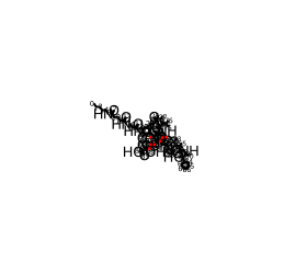 CCCCCNC(=O)CCCC(=O)NCCC(=O)Nc1cc(COC(=O)N(C)C(C(=O)NC(C(=O)N(C)C(C(C)CC)C(CC(=O)N2CCCC2C(OC)C(C)C(=O)NC(C)C(O)c2ccccc2)OC)C(C)C)C(C)C)ccc1O[C@H]1O[C@H](C(=O)O)[C@@H](O)[C@H](O)[C@H]1O